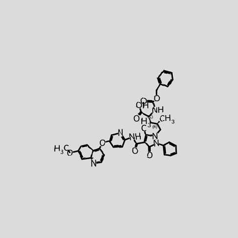 COc1ccc2c(Oc3ccc(NC(=O)c4c(C)n(C[C@H](C)C[C@H](NC(=O)OCc5ccccc5)C(=O)O)n(-c5ccccc5)c4=O)nc3)ccnc2c1